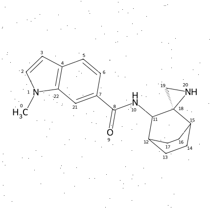 Cn1ccc2ccc(C(=O)NC3C4CCC(CC4)[C@@]34CN4)cc21